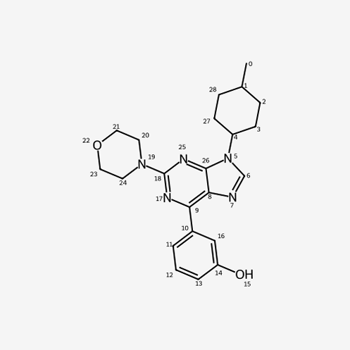 CC1CCC(n2cnc3c(-c4cccc(O)c4)nc(N4CCOCC4)nc32)CC1